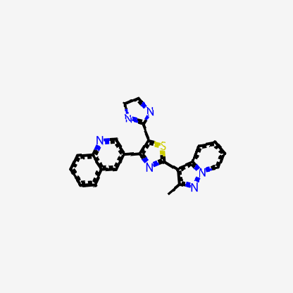 Cc1nn2ccccc2c1-c1nc(-c2cnc3ccccc3c2)c(C2=NCC=N2)s1